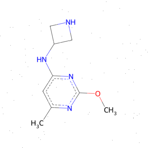 COc1nc(C)cc(NC2CNC2)n1